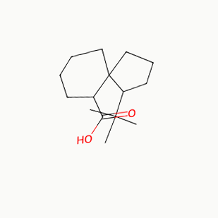 CC(C)(C)C1CCCC12CCCCC2C(=O)O